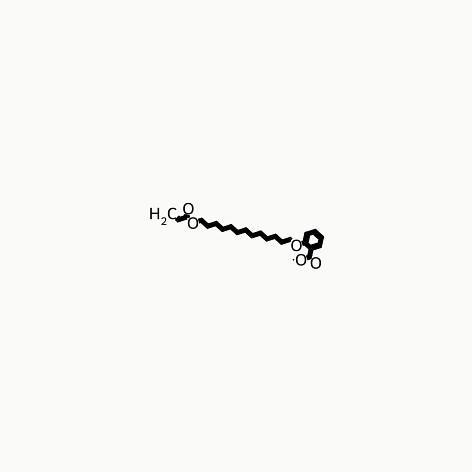 C=CC(=O)OCCCCCCCCCCCCCOc1ccccc1C([O])=O